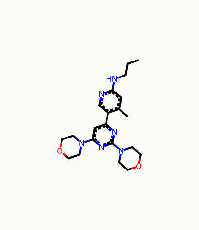 CCCNc1cc(C)c(-c2cc(N3CCOCC3)nc(N3CCOCC3)n2)cn1